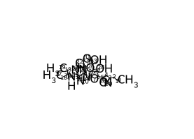 CCCc1cc([C@H]2O[C@@H](n3cnc4c(NC(CC)CC)nc(Cl)nc43)[C@H](O)[C@@H]2O)on1.O=CO